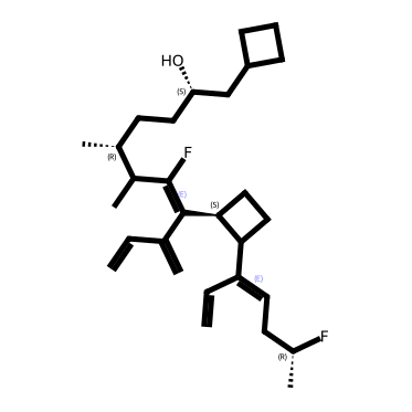 C=CC(=C)/C(=C(/F)C(C)[C@H](C)CC[C@H](O)CC1CCC1)[C@H]1CCC1/C(C=C)=C/C[C@@H](C)F